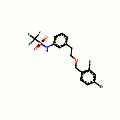 O=S(=O)(Nc1cccc(CCOCc2ccc(Br)cc2F)c1)C(F)(F)F